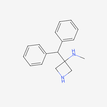 CNC1(C(c2ccccc2)c2ccccc2)CNC1